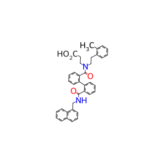 Cc1ccccc1CCN(CCC(=O)O)C(=O)c1ccccc1-c1ccccc1C(=O)NCc1cccc2ccccc12